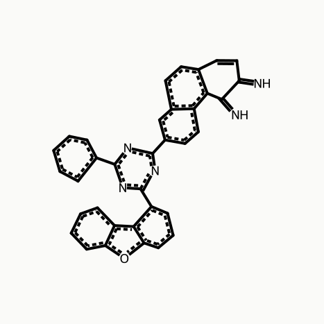 N=C1C=Cc2ccc3cc(-c4nc(-c5ccccc5)nc(-c5cccc6oc7ccccc7c56)n4)ccc3c2C1=N